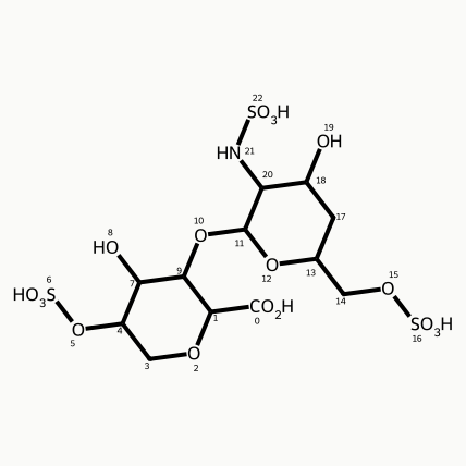 O=C(O)C1OCC(OS(=O)(=O)O)C(O)C1OC1OC(COS(=O)(=O)O)CC(O)C1NS(=O)(=O)O